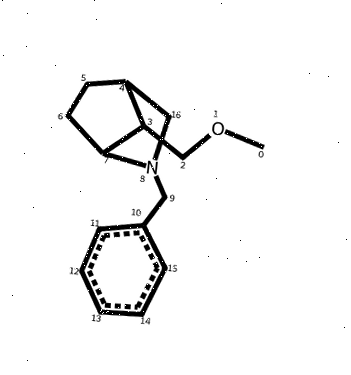 COCC1C2CCC1N(Cc1ccccc1)C2